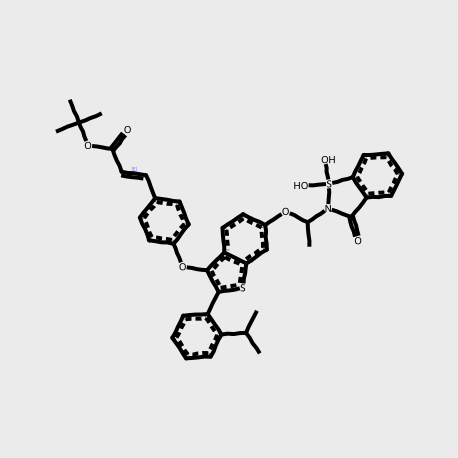 CC(C)c1ccccc1-c1sc2cc(OC(C)N3C(=O)c4ccccc4S3(O)O)ccc2c1Oc1ccc(/C=C/C(=O)OC(C)(C)C)cc1